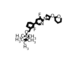 CC(C)(C)[Si](C)(C)OCc1cccc(-c2cnc(N3CC(OC4CCCCO4)C3)c(F)c2)c1F